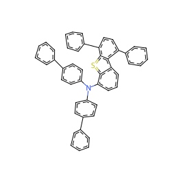 c1ccc(-c2ccc(N(c3ccc(-c4ccccc4)cc3)c3cccc4c3sc3c(-c5ccccc5)ccc(-c5ccccc5)c34)cc2)cc1